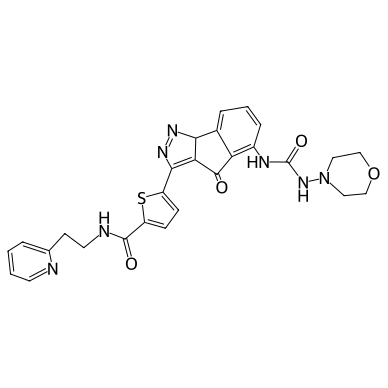 O=C(Nc1cccc2c1C(=O)C1=C(c3ccc(C(=O)NCCc4ccccn4)s3)N=NC12)NN1CCOCC1